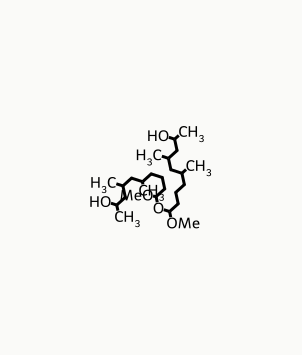 COC(CCCC(C)CC(C)CC(C)O)OC(CCCC(C)CC(C)CC(C)O)OC